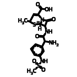 CC1C=C(C(=O)O)N2C(=O)C(NC(=O)C(N)c3cccc(NS(C)(=O)=O)c3)[C@@H]2S1